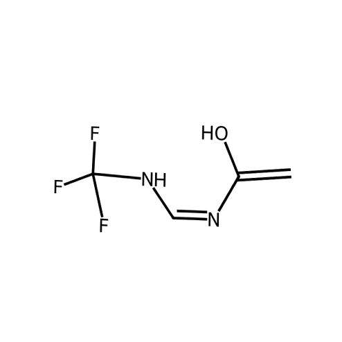 C=C(O)/N=C\NC(F)(F)F